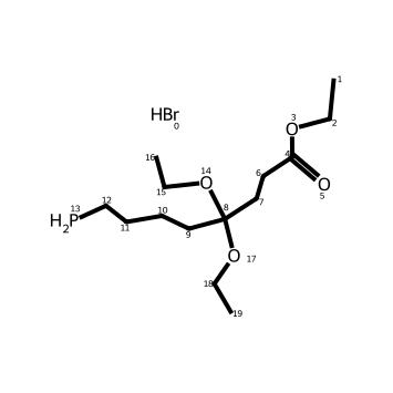 Br.CCOC(=O)CCC(CCCCP)(OCC)OCC